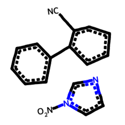 N#Cc1ccccc1-c1ccccc1.O=[N+]([O-])n1ccnc1